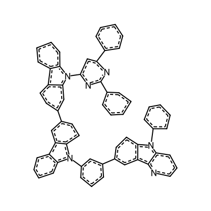 c1ccc(-c2cc(-n3c4ccccc4c4ccc(-c5ccc6c(c5)c5ccccc5n6-c5cccc(-c6ccc7c(c6)c6ncccc6n7-c6ccccc6)c5)cc43)nc(-c3ccccc3)n2)cc1